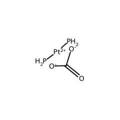 O=C([O-])[O-].[PH2][Pt+2][PH2]